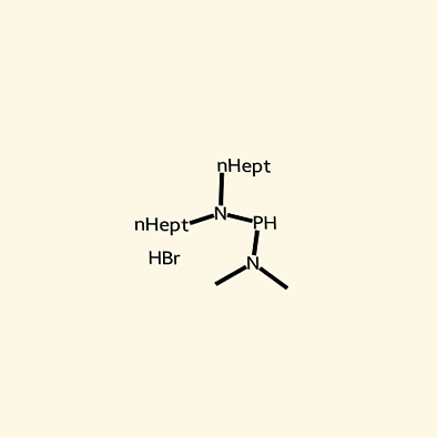 Br.CCCCCCCN(CCCCCCC)PN(C)C